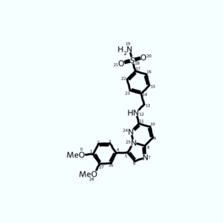 COc1ccc(-c2cnc3ccc(NCc4ccc(S(N)(=O)=O)cc4)nn23)cc1OC